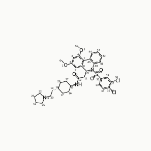 COc1cc(OC)c2c(c1)C(CC(=O)N[C@H]1CC[C@H](CCN3CCCC3)CC1)N(S(=O)(=O)c1ccc(Cl)c(Cl)c1)c1ccccc1-2